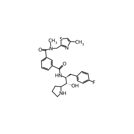 Cc1csc(CN(C)C(=O)c2cccc(C(=O)N[C@@H](Cc3ccc(F)cc3)[C@H](O)C3CCCN3)c2)n1